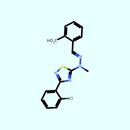 CN(/N=C/c1ccccc1C(=O)O)c1nc(-c2ccccc2Cl)ns1